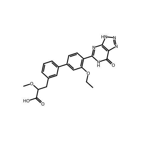 CCOc1cc(-c2cccc(CC(OC)C(=O)O)c2)ccc1-c1nc2[nH]nnc2c(=O)[nH]1